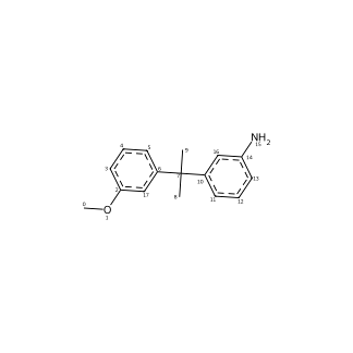 COc1cccc(C(C)(C)c2cccc(N)c2)c1